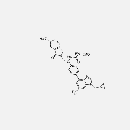 COc1ccc2c(c1)C(=O)N(C[C@H](NC(=O)NC=O)c1ccc(-c3cc(C(F)(F)F)cc4c3ncn4CC3CC3)cc1)C2